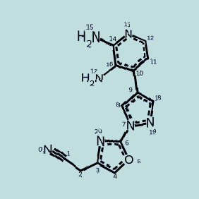 N#CCc1coc(-n2cc(-c3ccnc(N)c3N)cn2)n1